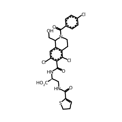 O=C(NC[C@H](NC(=O)c1c(Cl)cc2c(c1Cl)CCN(C(=O)c1ccc(Cl)cc1)C2CO)C(=O)O)C1=CCCS1